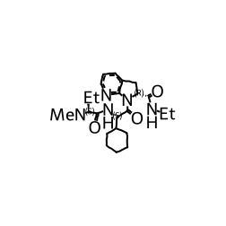 CCNC(=O)[C@H]1Cc2cccnc2N1C(=O)[C@@H](NC(=O)[C@H](CC)NC)C1CCCCC1